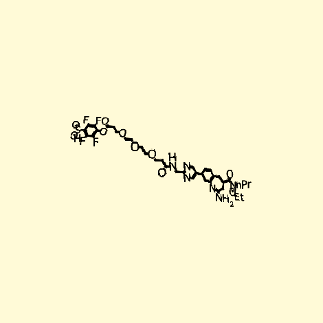 CCCN(OCC)C(=O)C1=Cc2ccc(-c3cnc(CNC(=O)CCOCCOCCOCCC(=O)Oc4c(F)c(F)c([SH](=O)=O)c(F)c4F)nc3)cc2N=C(N)C1